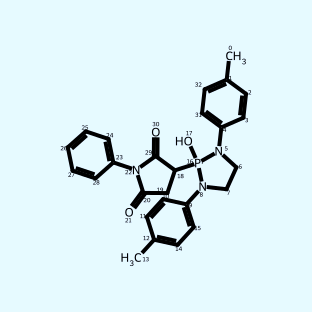 Cc1ccc(N2CCN(c3ccc(C)cc3)[P]2(O)C2CC(=O)N(c3ccccc3)C2=O)cc1